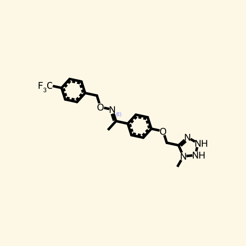 C/C(=N\OCc1ccc(C(F)(F)F)cc1)c1ccc(OCC2=NNNN2C)cc1